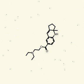 CCN(CC)CCOC(=O)c1ccc2c(c1)C=C1CCCC1(C)N2